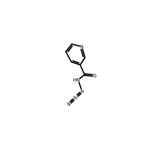 [N-]=[N+]=NNC(=O)c1cccnc1